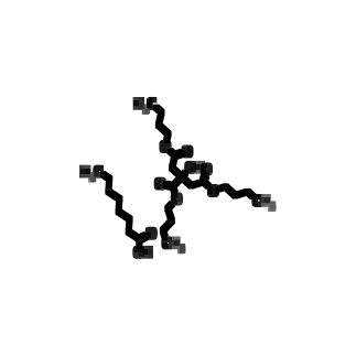 CCCCCCCC(=O)O.CCCCOC(=O)CC(O)(CC(=O)OCCCC)C(=O)OCCCC